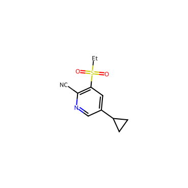 CCS(=O)(=O)c1cc(C2CC2)cnc1C#N